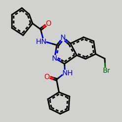 O=C(Nc1nc(NC(=O)c2ccccc2)c2cc(CBr)ccc2n1)c1ccccc1